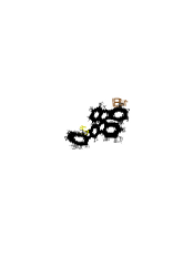 Brc1cccc2c1-c1ccccc1C21c2ccccc2-c2cc3c(cc21)sc1ccccc13